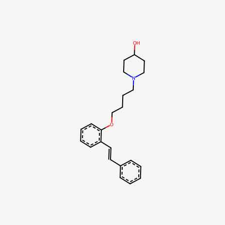 OC1CCN(CCCCOc2ccccc2C=Cc2ccccc2)CC1